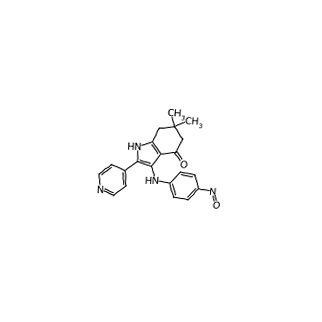 CC1(C)CC(=O)c2c([nH]c(-c3ccncc3)c2Nc2ccc(N=O)cc2)C1